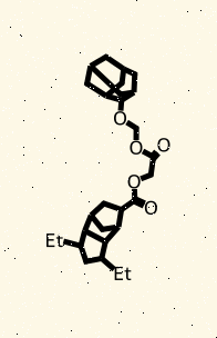 CCC1CC(CC)C2C3CC(CC3C(=O)OCC(=O)OCOC3C4CC5CC(C4)CC3C5)C12